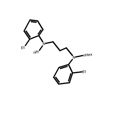 CCCCCCN(CCCN(CCC)c1ccccc1CC)c1ccccc1CC